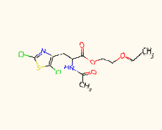 CCOCCOC(=O)C(Cc1nc(Cl)sc1Cl)NC(C)=O